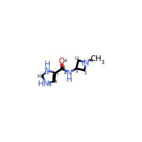 CN1CC(NC(=O)C2=CNCN2)C1